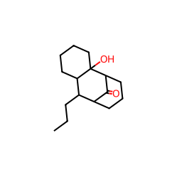 CCCC1C2CCCC(C2=O)C2(O)CCCCC12